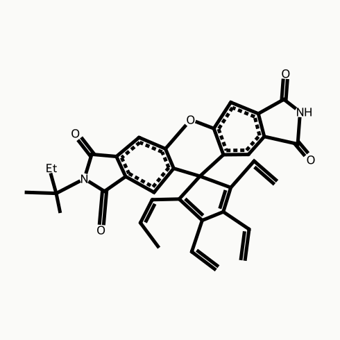 C=CC1=C(C=C)C2(C(/C=C\C)=C1C=C)c1cc3c(cc1Oc1cc4c(cc12)C(=O)N(C(C)(C)CC)C4=O)C(=O)NC3=O